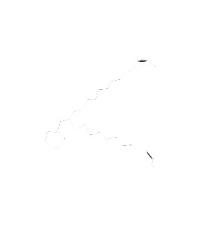 CCCCCCCC/C=C\CCCCCCCCOCC(CN1CCOCC1)OCCCCCCCC/C=C\CCCCCCCC